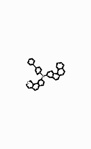 c1ccc(-c2ccc(N(c3ccc4c(ccc5ccc6ccccc6c54)c3)c3ccc4ccc5ccccc5c4c3)cc2)cc1